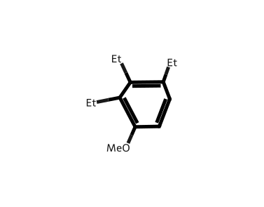 CCc1ccc(OC)c(CC)c1CC